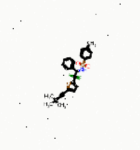 Cc1ccc(S(=O)(=O)NC(c2ccccc2)C(F)(F)c2ccc(C#CC(C)(C)C)s2)cc1